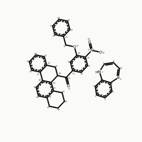 C1=CNc2ccccc2N=C1.O=C(c1ccc([N+](=O)[O-])c(OCc2ccccc2)c1)C1Cc2ccccc2-c2ccc3c(c21)CCCC3